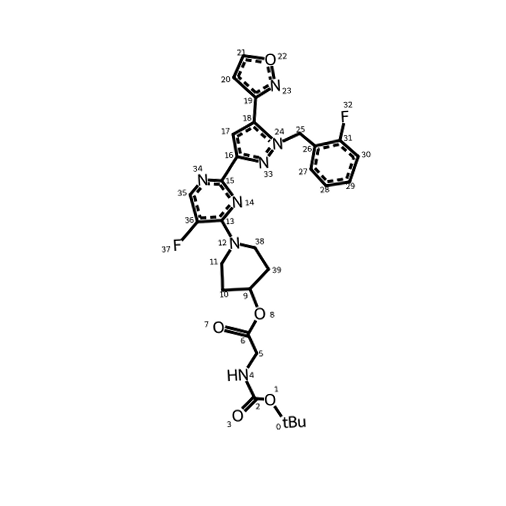 CC(C)(C)OC(=O)NCC(=O)OC1CCN(c2nc(-c3cc(-c4ccon4)n(Cc4ccccc4F)n3)ncc2F)CC1